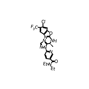 CCN(CC)C(=O)c1ccc(-n2ncnc2[C@H](C)Nc2nc3cc(C(F)(F)F)c(Cl)cc3o2)nc1